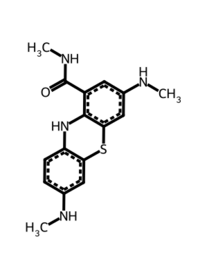 CNC(=O)c1cc(NC)cc2c1Nc1ccc(NC)cc1S2